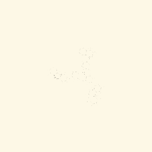 c1ccc2c(-c3ccc(N(c4ccc(-c5ccc6oc7ccccc7c6c5)cc4)c4ccc(-c5cccc6c5ccc5ccccc56)cc4)cc3)cccc2c1